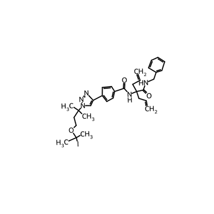 C=CCC(CC=C)(NC(=O)c1ccc(-c2cn(C(C)(C)CCOC(C)(C)I)nn2)cc1)C(=O)NCc1ccccc1